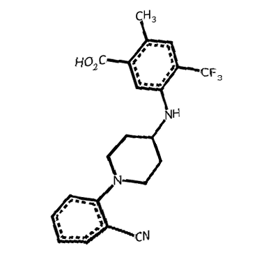 Cc1cc(C(F)(F)F)c(NC2CCN(c3ccccc3C#N)CC2)cc1C(=O)O